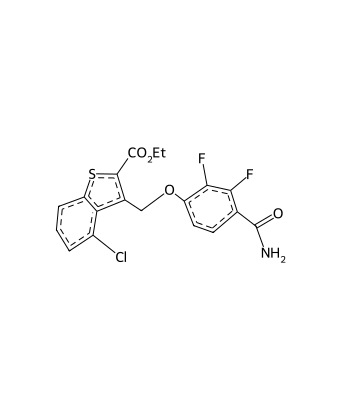 CCOC(=O)c1sc2cccc(Cl)c2c1COc1ccc(C(N)=O)c(F)c1F